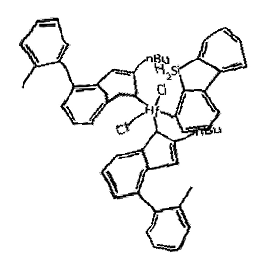 CCCCC1=Cc2c(-c3ccccc3C)cccc2[CH]1[Hf]([Cl])([Cl])([c]1cccc2c1[SiH2]c1ccccc1-2)[CH]1C(CCCC)=Cc2c(-c3ccccc3C)cccc21